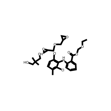 C(OCC1CO1)C1CO1.CC(C)(CO)CO.CCOCOC(=O)c1ccccc1Nc1c(Cl)ccc(C)c1Cl